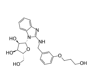 OCCCOc1cccc(CNc2nc3ccccc3n2[C@@H]2O[C@H](CO)[C@@H](O)[C@H]2O)c1